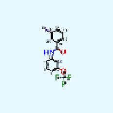 O=C(Nc1cccc(OC(F)(F)F)c1)c1cccc(I)c1